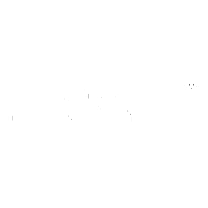 CSc1ccc(CCNC(=O)C[S+]([O-])Cc2nc(-c3ccc(C)cc3)oc2C)cc1